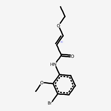 CCO/C=C/C(=O)Nc1cccc(Br)c1OC